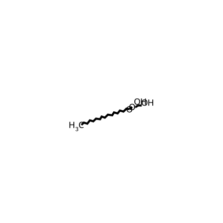 CCCCCCCCCCCCCCCCOOCC(O)CO